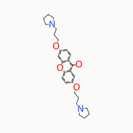 O=c1c2ccc(OCCCN3CCCC3)cc2oc2ccc(OCCCN3CCCC3)cc12